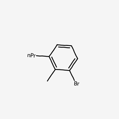 CCCc1cccc(Br)c1C